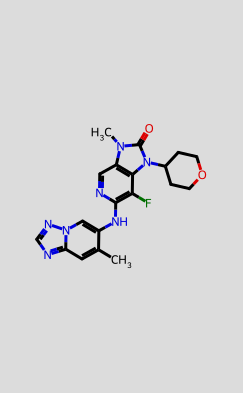 Cc1cc2ncnn2cc1Nc1ncc2c(c1F)n(C1CCOCC1)c(=O)n2C